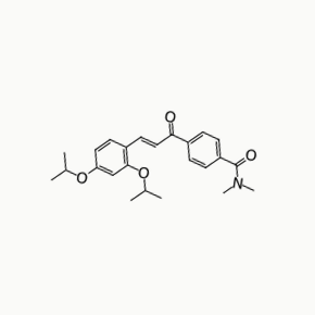 CC(C)Oc1ccc(C=CC(=O)c2ccc(C(=O)N(C)C)cc2)c(OC(C)C)c1